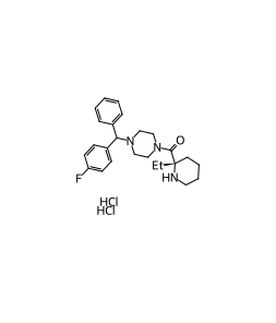 CC[C@@]1(C(=O)N2CCN(C(c3ccccc3)c3ccc(F)cc3)CC2)CCCCN1.Cl.Cl